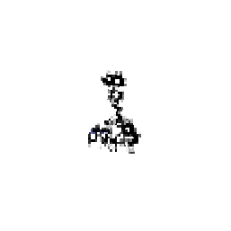 C=N/C(=C\C=C/C)CN(C)C(=O)OCn1c(=O)ccc2ccc(OCCCCN3CCN(c4cccc5sccc45)CC3)cc21